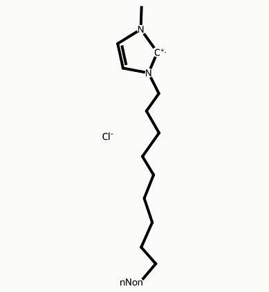 CCCCCCCCCCCCCCCCCCN1[C+]N(C)C=C1.[Cl-]